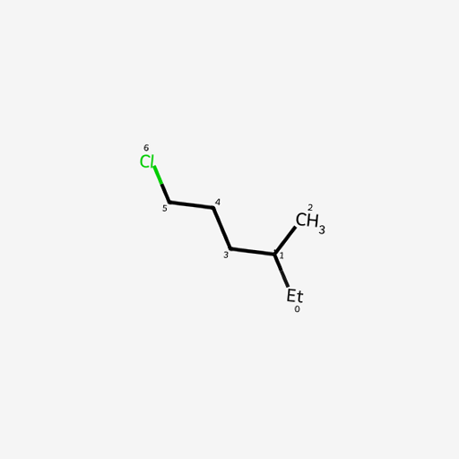 CC[C](C)CCCCl